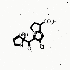 CCCCC1(C(=O)c2c(Cl)cc3n2CCC3C(=O)O)C=CC=N1